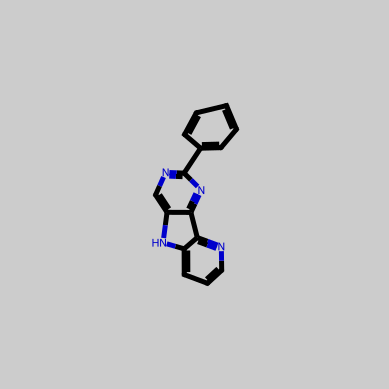 c1ccc(-c2ncc3[nH]c4cccnc4c3n2)cc1